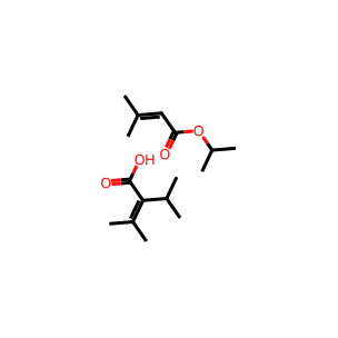 CC(C)=C(C(=O)O)C(C)C.CC(C)=CC(=O)OC(C)C